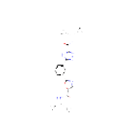 O=C(NC(C1CC1)C1CC1)c1nnc(-c2cccc(-c3ncc(C(=O)NC(C4CC4)C4CC4)o3)c2)[nH]1